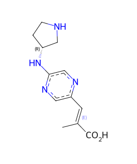 C/C(=C\c1cnc(N[C@@H]2CCNC2)cn1)C(=O)O